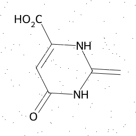 C=C1NC(=O)C=C(C(=O)O)N1